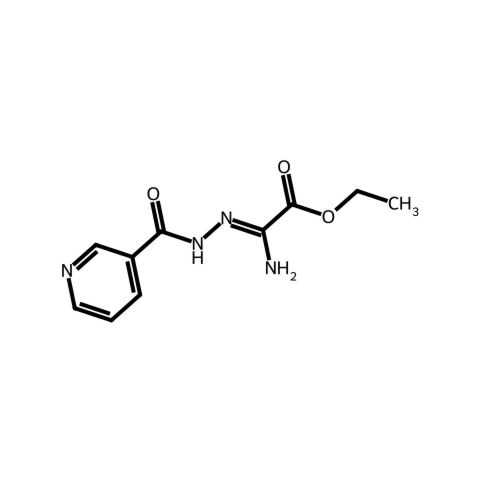 CCOC(=O)/C(N)=N/NC(=O)c1cccnc1